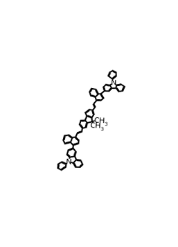 CC1(C)c2cc(/C=C/c3ccc(-c4ccc5c(c4)c4ccccc4n5-c4ccccc4)c4ccccc34)ccc2-c2ccc(/C=C/c3ccc(-c4ccc5c(c4)c4ccccc4n5-c4ccccc4)c4ccccc34)cc21